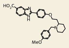 COc1ccc(CN2CCCCC2CCOc2ccc(-c3nc4cc(C(=O)O)ccc4[nH]3)cc2)cc1